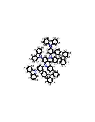 c1ccc([Si](c2ccccc2)(c2ccccc2)c2ccc3c(c2)N(c2ccc(-n4c5ccccc5c5ccccc54)cc2)c2cc(-n4c5ccccc5c5ccccc54)cc4c2B3c2ccc([Si](c3ccccc3)(c3ccccc3)c3ccccc3)cc2N4c2ccc(-n3c4ccccc4c4ccccc43)cc2)cc1